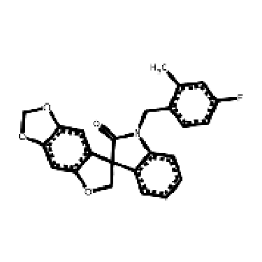 Cc1cc(F)ccc1CN1C(=O)C2(COc3cc4c(cc32)OCO4)c2ccccc21